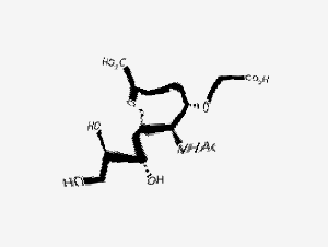 CC(=O)N[C@H]1[C@H]([C@H](O)[C@H](O)CO)OC(C(=O)O)=C[C@@H]1OCC(=O)O